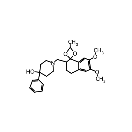 COc1cc2c(cc1OC)C1(OC(C)O1)C(CN1CCC(O)(c3ccccc3)CC1)CC2